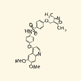 COc1cc2nccc(Oc3ccc(NS(=O)(=O)c4ccc(OCc5c(C)noc5C)cc4)cc3)c2cc1OC